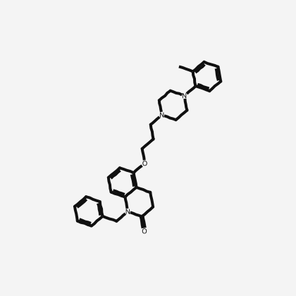 Cc1ccccc1N1CCN(CCCOc2cccc3c2CCC(=O)N3Cc2ccccc2)CC1